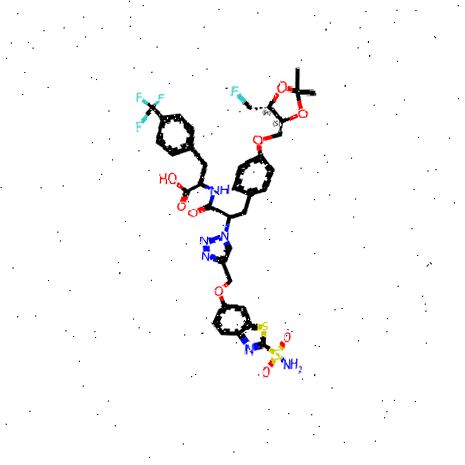 CC1(C)O[C@@H](CF)[C@H](COc2ccc(CC(C(=O)NC(Cc3ccc(C(F)(F)F)cc3)C(=O)O)n3cc(COc4ccc5nc(S(N)(=O)=O)sc5c4)nn3)cc2)O1